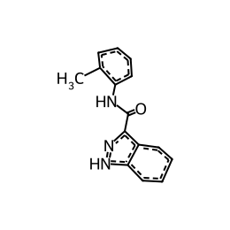 Cc1ccccc1NC(=O)c1n[nH]c2ccccc12